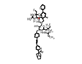 COC(=O)N[C@H](C(=O)N[C@@H](Cc1ccc(C#Cc2ccc(N3CC4CCC(C3)N4CC(F)F)nc2)cc1)[C@@H](O)CN(Cc1c(F)cc(-c2ccccn2)cc1Cl)NC(=O)[C@@H](NC(=O)O)C(C)(C)CF)C(C)(C)CF